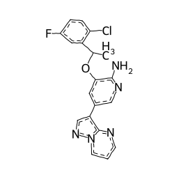 CC(Oc1cc(-c2cnn3cccnc23)cnc1N)c1cc(F)ccc1Cl